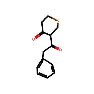 O=C1CCSCC1C(=O)Cc1ccccc1